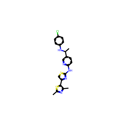 Cc1nc(C)c(-c2csc(Nc3ccc(C(C)Nc4ccc(Cl)cc4)cn3)n2)s1